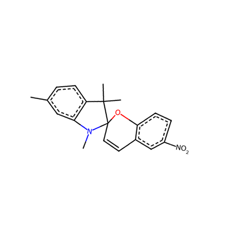 Cc1ccc2c(c1)N(C)C1(C=Cc3cc([N+](=O)[O-])ccc3O1)C2(C)C